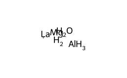 O.[AlH3].[La].[MgH2]